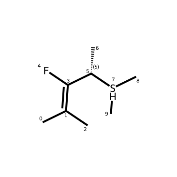 CC(C)=C(F)[C@H](C)[SH](C)C